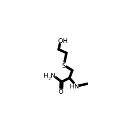 CNC(CSCCO)C(N)=O